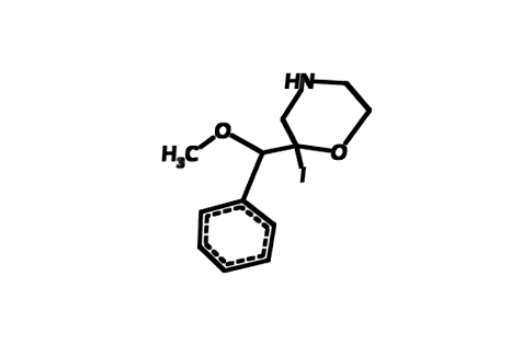 COC(c1ccccc1)C1(I)CNCCO1